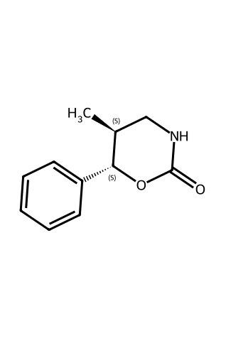 C[C@H]1CNC(=O)O[C@@H]1c1ccccc1